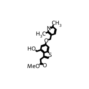 COC(=O)Cc1csc2cc(OCc3ccc(C)nc3C)cc(CO)c12